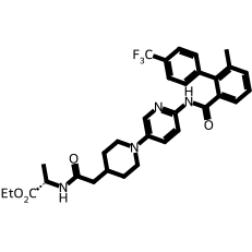 CCOC(=O)[C@H](C)NC(=O)CC1CCN(c2ccc(NC(=O)c3cccc(C)c3-c3ccc(C(F)(F)F)cc3)nc2)CC1